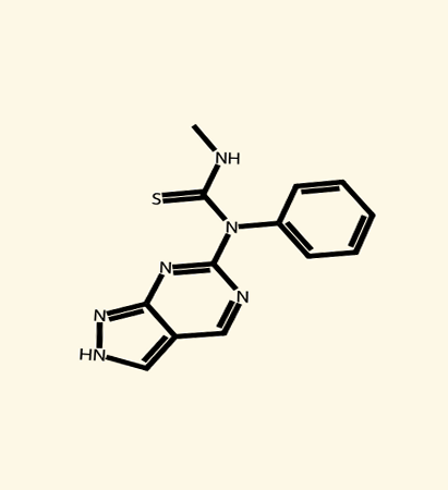 CNC(=S)N(c1ccccc1)c1ncc2c[nH]nc2n1